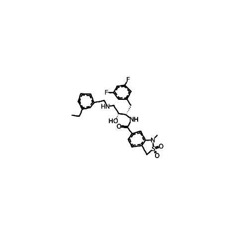 CCc1cccc(CNC[C@@H](O)[C@H](Cc2cc(F)cc(F)c2)NC(=O)c2ccc3c(c2)N(C)S(=O)(=O)C3)c1